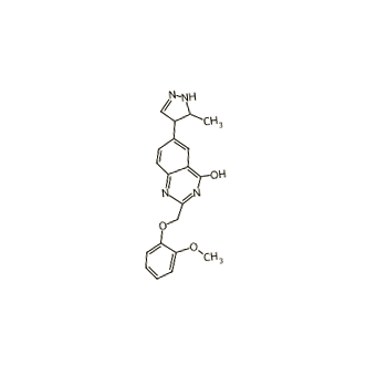 COc1ccccc1OCc1nc(O)c2cc(C3C=NNC3C)ccc2n1